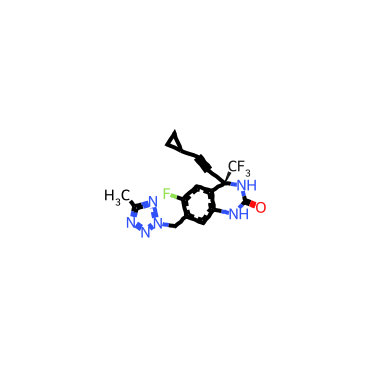 Cc1nnn(Cc2cc3c(cc2F)[C@@](C#CC2CC2)(C(F)(F)F)NC(=O)N3)n1